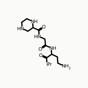 CC(C)C(=O)C(CCN)NC(=O)CNC(=O)C1CNCCN1